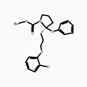 CCc1ccccc1OCCC[C@@]1(Oc2ccccc2)CCCN1C(=O)OC(C)(C)C